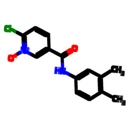 Cc1ccc(NC(=O)c2ccc(Cl)[n+]([O-])c2)cc1C